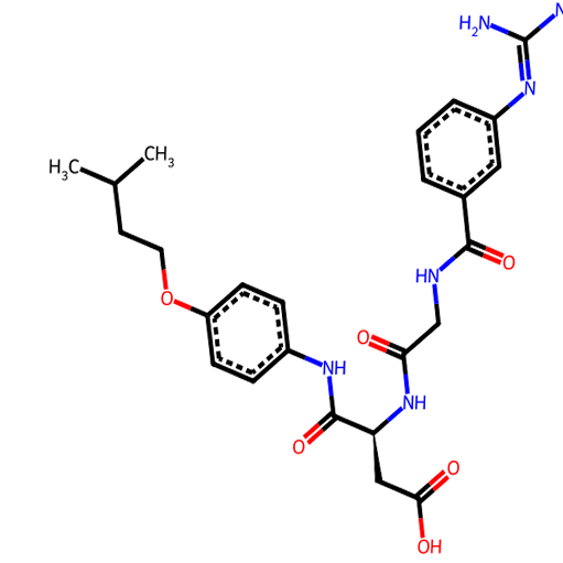 CC(C)CCOc1ccc(NC(=O)[C@H](CC(=O)O)NC(=O)CNC(=O)c2cccc(N=C(N)N)c2)cc1